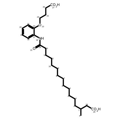 CC(CCCCCCCCCCCCC(=O)Nc1ccccc1OCCCC(=O)O)CC(=O)O